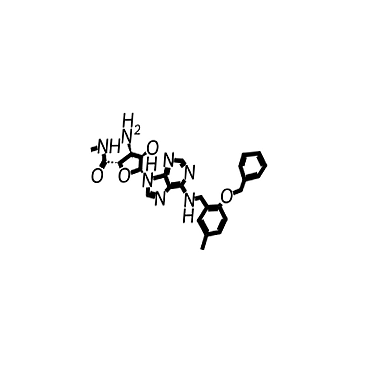 CNC(=O)[C@H]1O[C@@H](n2cnc3c(NCc4cc(C)ccc4OCc4ccccc4)ncnc32)[C@H](O)[C@@H]1N